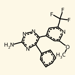 COc1cc(-c2nnc(N)nc2-c2ccccc2)cc(C(F)(F)F)n1